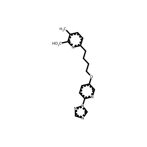 Cc1ccc(CCCCOc2ccc(-n3cncn3)nc2)nc1C(=O)O